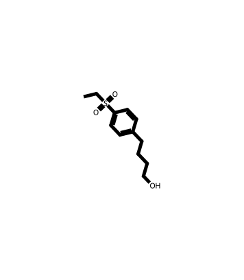 CCS(=O)(=O)c1ccc(CCCCO)cc1